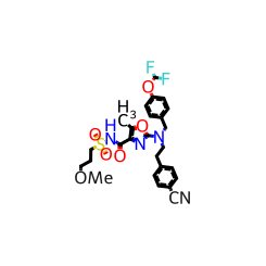 COCCCS(=O)(=O)NC(=O)c1nc(N(CCc2ccc(C#N)cc2)Cc2ccc(OC(F)F)cc2)oc1C